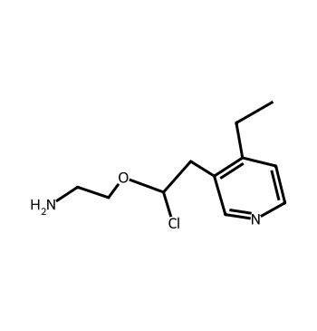 CCc1ccncc1CC(Cl)OCCN